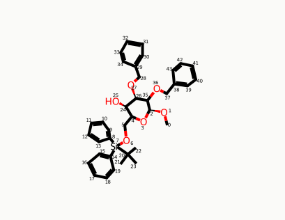 CO[C@H]1OC(CO[Si](c2ccccc2)(c2ccccc2)C(C)(C)C)[C@@H](O)[C@@H](OCc2ccccc2)C1OCc1ccccc1